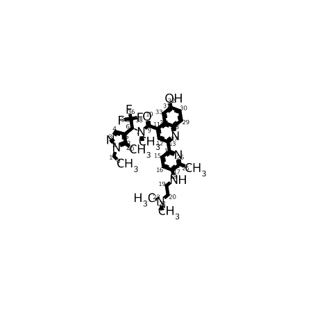 CCn1ncc([C@@H](N(C)C(=O)c2cc(-c3ccc(NCCN(C)C)c(C)n3)nc3ccc(O)cc23)C(F)(F)F)c1C